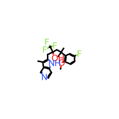 COc1ccc(F)cc1C(C)(C)CC(O)(Cc1[nH]c2ccncc2c1C)C(F)(F)F